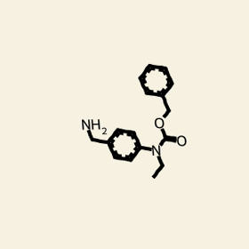 CCN(C(=O)OCc1ccccc1)c1ccc(CN)cc1